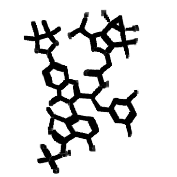 Cn1nc(NS(C)(=O)=O)c2c(Cl)ccc(-n3c([C@H](Cc4cc(F)cc(F)c4)NC(=O)Cn4nc(C(F)F)c5c4C(F)(F)[C@@H]4C[C@H]54)nc4cc(B5OC(C)(C)C(C)(C)O5)ccc4c3=O)c21